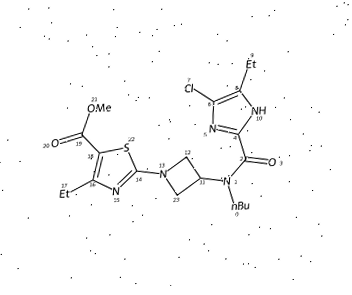 CCCCN(C(=O)c1nc(Cl)c(CC)[nH]1)C1CN(c2nc(CC)c(C(=O)OC)s2)C1